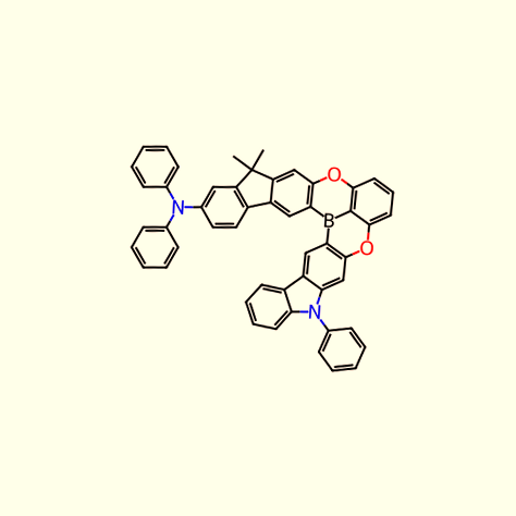 CC1(C)c2cc(N(c3ccccc3)c3ccccc3)ccc2-c2cc3c(cc21)Oc1cccc2c1B3c1cc3c4ccccc4n(-c4ccccc4)c3cc1O2